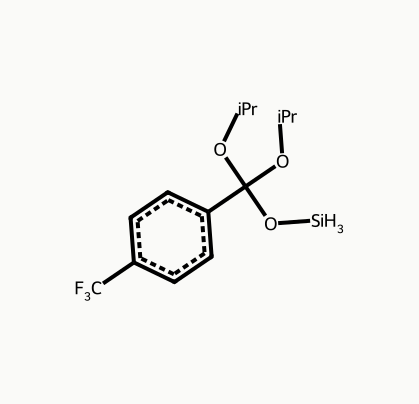 CC(C)OC(O[SiH3])(OC(C)C)c1ccc(C(F)(F)F)cc1